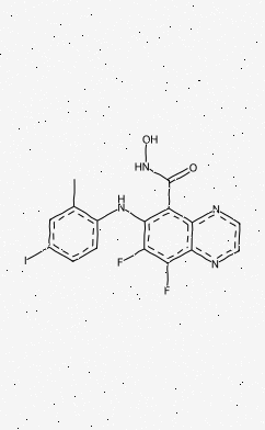 Cc1cc(I)ccc1Nc1c(F)c(F)c2nccnc2c1C(=O)NO